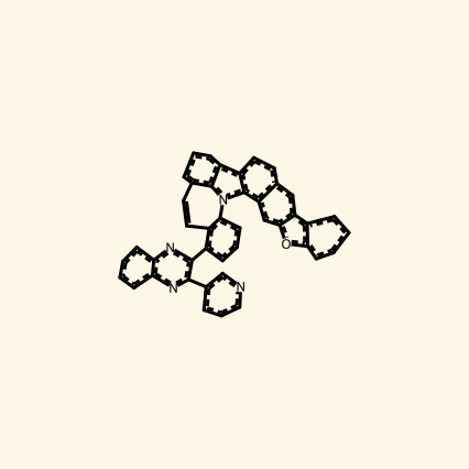 C1=Cc2cccc3c4ccc5cc6c(cc5c4n(c23)-c2cccc(-c3nc4ccccc4nc3-c3cccnc3)c21)oc1ccccc16